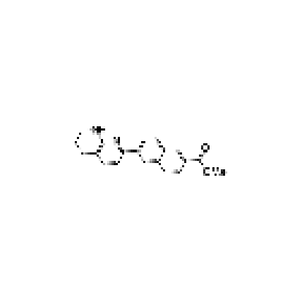 COC(=O)c1ccc2cc(-c3ccc4c(n3)NCCC4)ccc2c1